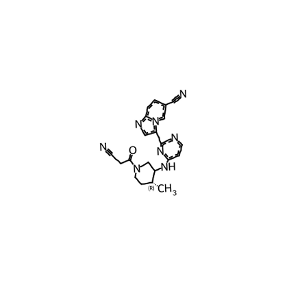 C[C@@H]1CCN(C(=O)CC#N)CC1Nc1ccnc(-c2cnc3ccc(C#N)cn23)n1